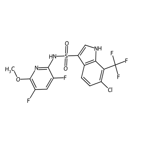 COc1nc(NS(=O)(=O)c2c[nH]c3c(C(F)(F)F)c(Cl)ccc23)c(F)cc1F